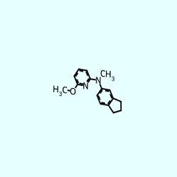 COc1cccc(N(C)c2ccc3c(c2)CCC3)n1